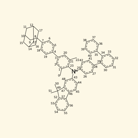 Cc1cc(-c2ccc(C34CC5CC(CC(C5)C3)C4)cc2)cc(C)c1N(c1ccc(-c2ccccc2-c2ccccc2)cc1)c1ccc2c(c1)C(C)(C)c1ccccc1-2